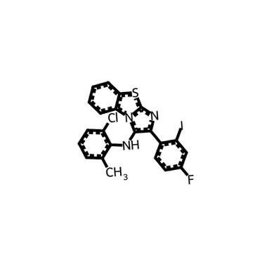 Cc1cccc(Cl)c1Nc1c(-c2ccc(F)cc2I)nc2sc3ccccc3n12